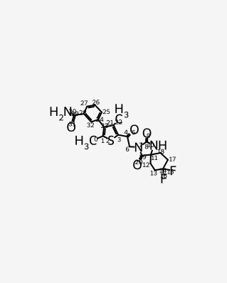 Cc1sc(C(=O)CN2C(=O)NC3(CCC(F)(F)CC3)C2=O)c(C)c1-c1cccc(C(N)=O)c1